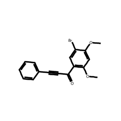 COc1cc(OC)c(C(=O)C#Cc2ccccc2)cc1Br